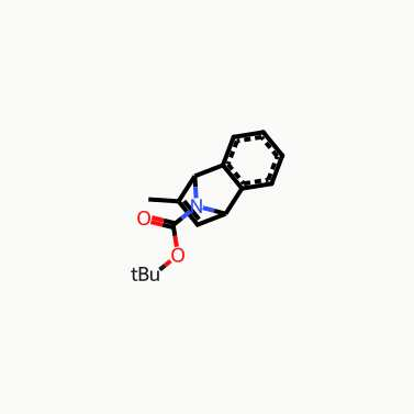 CC1=CC2c3ccccc3C1N2C(=O)OC(C)(C)C